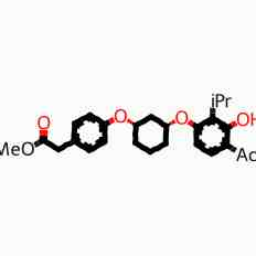 COC(=O)Cc1ccc(O[C@@H]2CCC[C@H](Oc3ccc(C(C)=O)c(O)c3C(C)C)C2)cc1